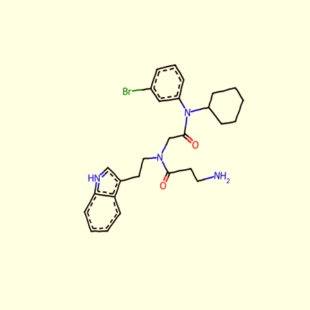 NCCC(=O)N(CCc1c[nH]c2ccccc12)CC(=O)N(c1cccc(Br)c1)C1CCCCC1